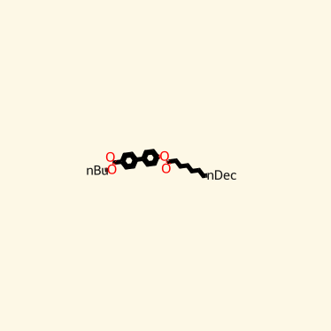 CCCCCCCCCCCCCCCCC(=O)Oc1ccc(-c2ccc(C(=O)OCCCC)cc2)cc1